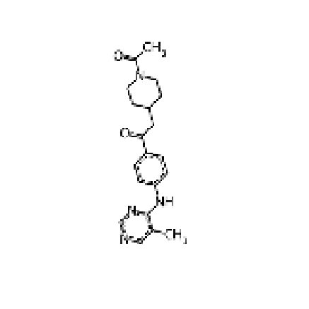 CC(=O)N1CCC(CC(=O)c2ccc(Nc3ncncc3C)cc2)CC1